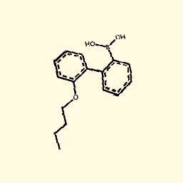 CCCCOc1ccccc1-c1ccccc1B(O)O